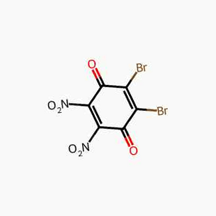 O=C1C(Br)=C(Br)C(=O)C([N+](=O)[O-])=C1[N+](=O)[O-]